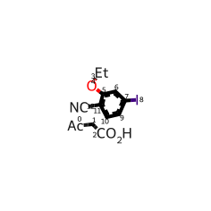 CC(=O)CC(=O)O.CCOc1cc(I)ccc1C#N